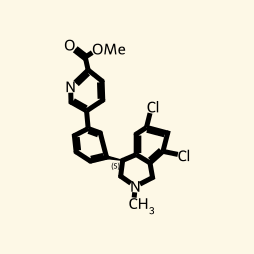 COC(=O)c1ccc(-c2cccc([C@@H]3CN(C)Cc4c(Cl)cc(Cl)cc43)c2)cn1